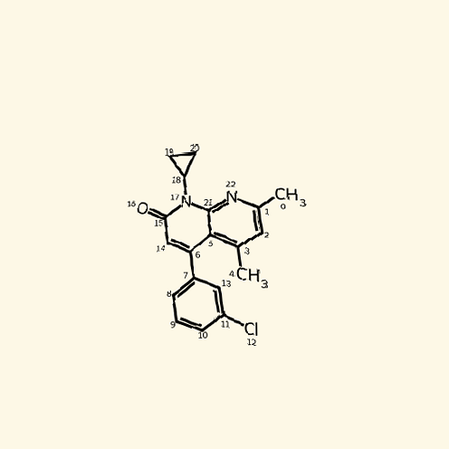 Cc1cc(C)c2c(-c3cccc(Cl)c3)cc(=O)n(C3CC3)c2n1